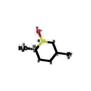 CC(C)C1CC[C@H](C)[S+]([O-])C1